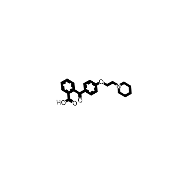 O=C(O)c1ccccc1C(=O)c1ccc(OCCN2CCCCC2)cc1